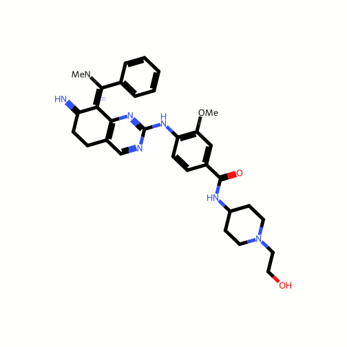 CN/C(=C1\C(=N)CCc2cnc(Nc3ccc(C(=O)NC4CCN(CCO)CC4)cc3OC)nc21)c1ccccc1